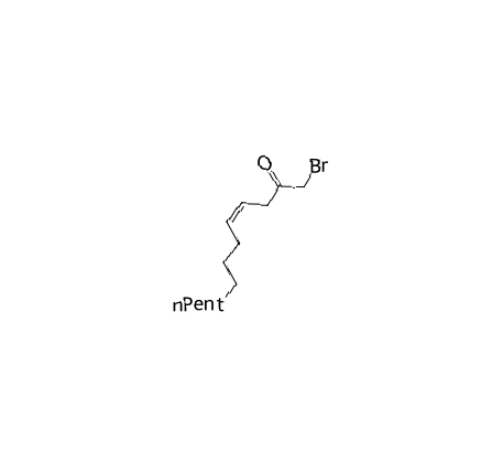 CCCCCCCC/C=C\CC(=O)CBr